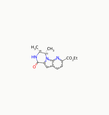 CCOC(=O)c1ccc2cc3n(c2n1)[C@@H](C)[C@@H](C)NC3=O